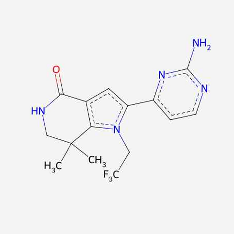 CC1(C)CNC(=O)c2cc(-c3ccnc(N)n3)n(CC(F)(F)F)c21